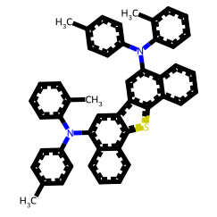 Cc1ccc(N(c2ccccc2C)c2cc3c4cc(N(c5ccc(C)cc5)c5ccccc5C)c5ccccc5c4sc3c3ccccc23)cc1